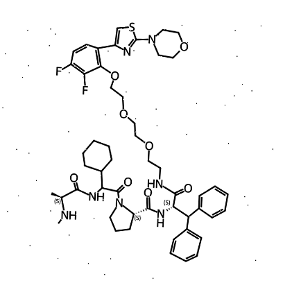 CN[C@@H](C)C(=O)NC(C(=O)N1CCC[C@H]1C(=O)N[C@H](C(=O)NCCOCCOCCOc1c(-c2csc(N3CCOCC3)n2)ccc(F)c1F)C(c1ccccc1)c1ccccc1)C1CCCCC1